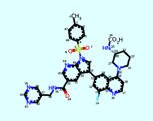 Cc1ccc(S(=O)(=O)n2cc(-c3cc(F)c4nccc(N5CCC[C@@H](NC(=O)O)C5)c4c3)c3cc(C(=O)NCc4cncnc4)cnc32)cc1